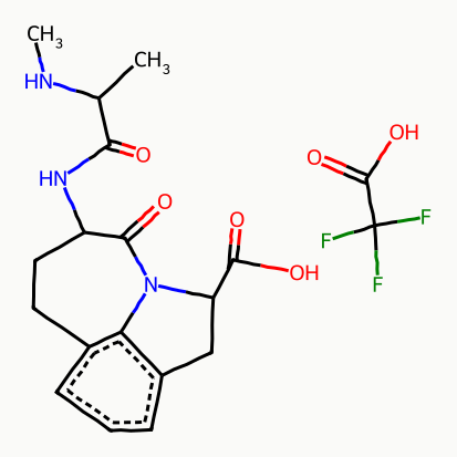 CNC(C)C(=O)NC1CCc2cccc3c2N(C1=O)C(C(=O)O)C3.O=C(O)C(F)(F)F